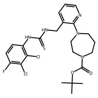 CC(C)(C)OC(=O)N1CCCN(c2ncccc2CNC(=S)Nc2ccc(F)c(Cl)c2Cl)CC1